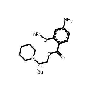 CCCOc1cc(N)ccc1C(=O)OC[C@H](C(C)CC)N1CCCCC1